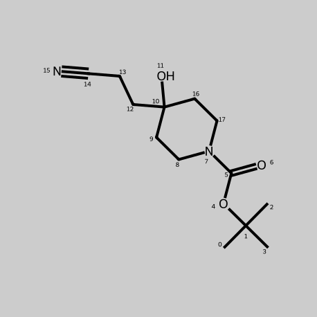 CC(C)(C)OC(=O)N1CCC(O)(CCC#N)CC1